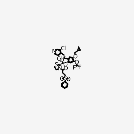 O=C(O[C@@H](Cc1c(Cl)cncc1Cl)c1ccc(OC(F)F)c(OCC2CC2)c1)[C@@H]1SCCN1C(=O)CCS(=O)(=O)c1ccccc1